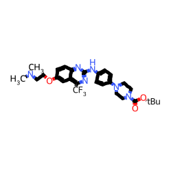 CN(C)CCOc1ccc2nc(Nc3ccc(N4CCN(C(=O)OC(C)(C)C)CC4)cc3)nc(C(F)(F)F)c2c1